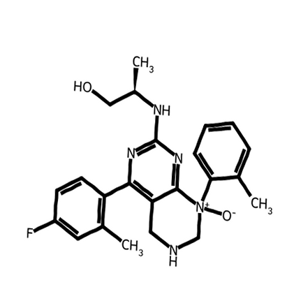 Cc1cc(F)ccc1-c1nc(N[C@H](C)CO)nc2c1CNC[N+]2([O-])c1ccccc1C